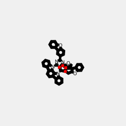 c1ccc2c(c1)oc1ccc(-c3nc(-c4ccc5oc6ccccc6c5c4)nc(-n4c5ccccc5c5ccc6c7ccccc7n(-c7ccc8occc8c7)c6c54)n3)cc12